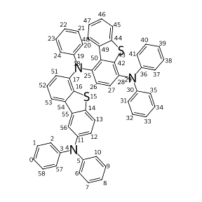 c1ccc(N(c2ccccc2)c2ccc3sc4c(N(c5ccccc5)c5ccc(N(c6ccccc6)c6ccccc6)c6sc7ccccc7c56)cccc4c3c2)cc1